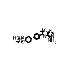 CCP(=O)(O)O[C@H]1CC[C@H](c2ccc(C3=Nc4c(N)ncnc4OC3(C)C)cc2)CC1